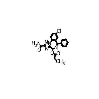 CCC(=O)OC1N=C(c2ccccc2)c2cc(Cl)ccc2-n2nc(C(N)=O)nc21